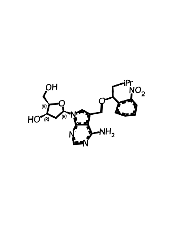 CC(C)CC(OCc1cn([C@H]2C[C@@H](O)[C@@H](CO)O2)c2ncnc(N)c12)c1ccccc1[N+](=O)[O-]